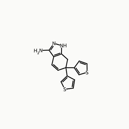 Nc1n[nH]c2c1C=CC(c1ccsc1)(c1ccsc1)C2